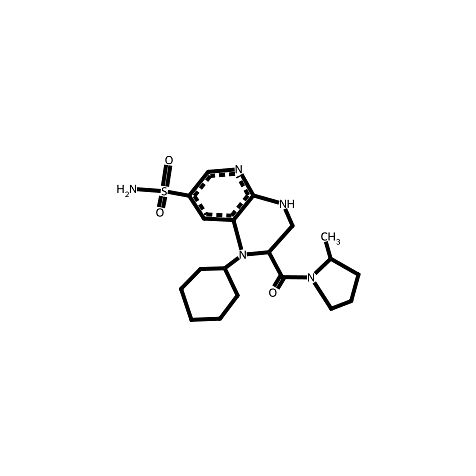 CC1CCCN1C(=O)C1CNc2ncc(S(N)(=O)=O)cc2N1C1CCCCC1